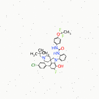 CC(C)(C)CN1CCC2(CC1)CN(c1ccccc1NC(=O)Nc1ccc(OC(C)(F)F)cc1)c1c(O)c(F)cc(-c3ccc(Cl)cc3)c12